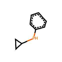 c1ccc(PC2CC2)cc1